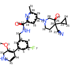 COC1=C(c2cc(F)cc(CNC(=O)c3cc(N4CCC(C#N)(C5CC5)C(=O)C4)cc(C)n3)c2)C=CNC1